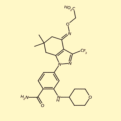 CC1(C)CC(=NOCC(=O)O)c2c(C(F)(F)F)nn(-c3ccc(C(N)=O)c(NC4CCOCC4)c3)c2C1